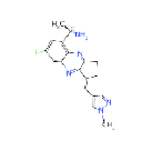 C[C@@H](N)c1cc(F)cc2nc3c(nc12)CCC3=Cc1cnn(C)c1